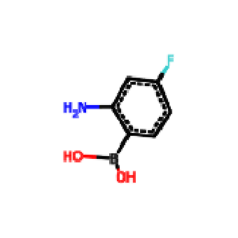 Nc1cc(F)ccc1B(O)O